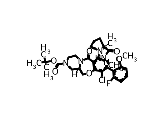 CNC(=O)[C@]1(C)CCCN1c1nc(-c2c(F)cccc2OC)c(Cl)c2c1C(=O)N1CCN(C(=O)OC(C)(C)C)C[C@@H]1CO2